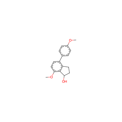 COc1ccc(-c2ccc(OC)c3c2CCC3O)cc1